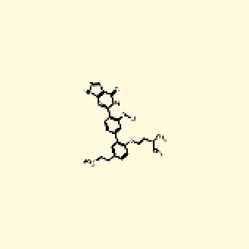 CCOc1cc(-c2cc(CCC(=O)O)ccc2OCCN(C)C)ccc1-c1nc2[nH]nnc2c(=O)[nH]1